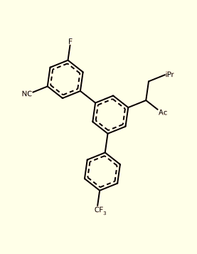 CC(=O)C(CC(C)C)c1cc(-c2ccc(C(F)(F)F)cc2)cc(-c2cc(F)cc(C#N)c2)c1